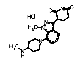 CNC1CCN(c2cccc3c(C4CCC(=O)NC4=O)nn(C)c23)CC1.Cl